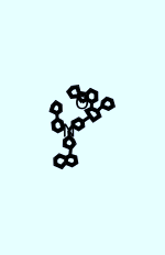 c1ccc(-c2cccc(N(c3ccc(-c4ccc(-c5ccccc5)c(-c5cccc6c5oc5ccccc56)c4)cc3)c3ccc(-c4cccc5ccccc45)cc3)c2)cc1